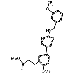 COC(=O)CCc1cc(-c2cnc(NCc3cccc(OC(F)(F)F)c3)nc2)ccc1OC